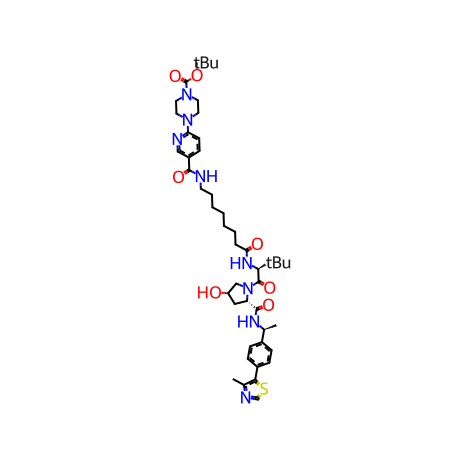 Cc1ncsc1-c1ccc([C@H](C)NC(=O)[C@@H]2C[C@@H](O)CN2C(=O)[C@@H](NC(=O)CCCCCCCNC(=O)c2ccc(N3CCN(C(=O)OC(C)(C)C)CC3)nc2)C(C)(C)C)cc1